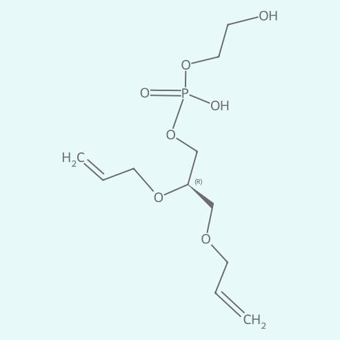 C=CCOC[C@H](COP(=O)(O)OCCO)OCC=C